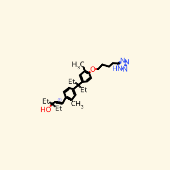 CCC(O)(/C=C/c1ccc(C(CC)(CC)c2ccc(OCCCCc3nnn[nH]3)c(C)c2)cc1C)CC